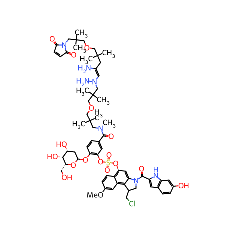 COc1ccc2c(OS(=O)(=O)Oc3cc(C(=O)N(C)CC(C)(C)COCC(C)(C)CN(N)/C=C(\N)CC(C)(C)COCC(C)(C)CN4C(=O)C=CC4=O)ccc3OC3C[C@@H](O)[C@@H](O)[C@@H](CO)O3)cc3c(c2c1)C(CCl)CN3C(=O)c1cc2ccc(O)cc2[nH]1